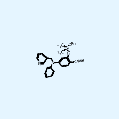 COc1ccc(N(Cc2cccnc2)c2ccccc2)cc1O[Si](C)(C)C(C)(C)C